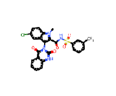 Cn1c(C(=O)NS(=O)(=O)c2cccc(C(F)(F)F)c2)c(-n2c(=O)[nH]c3ccccc3c2=O)c2cc(Cl)ccc21